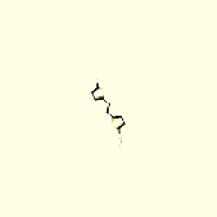 CCC[CH2][Sn]([CH2]CCC)([CH2]CCC)[c]1ccc(CCc2cc[c]([Sn]([CH2]CCC)([CH2]CCC)[CH2]CCC)s2)s1